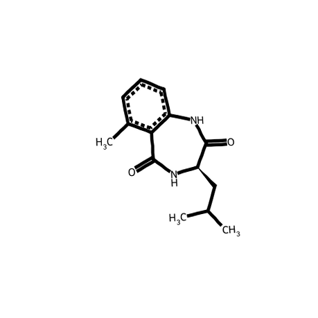 Cc1cccc2c1C(=O)N[C@H](CC(C)C)C(=O)N2